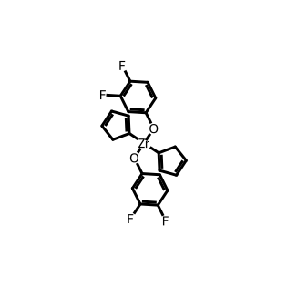 Fc1ccc([O][Zr]([O]c2ccc(F)c(F)c2)([C]2=CC=CC2)[C]2=CC=CC2)cc1F